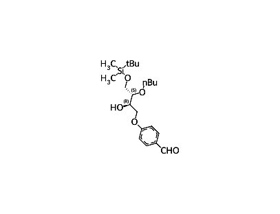 CCCCO[C@@H](CO[Si](C)(C)C(C)(C)C)[C@H](O)COc1ccc(C=O)cc1